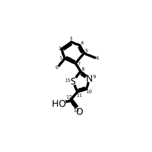 Cc1cccc(C)c1-c1ncc(C(=O)O)s1